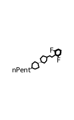 CCCCC[C@H]1CC[C@H](C2CCC(CCc3c(F)cccc3F)CC2)CC1